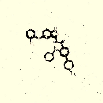 CN1CCC(c2ccc(C(=O)Nc3n[nH]c4ccc(Sc5ccccc5C(F)(F)F)nc34)c(NC3CCOCC3)c2)CC1